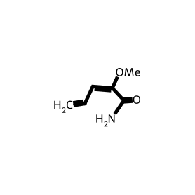 C=CC=C(OC)C(N)=O